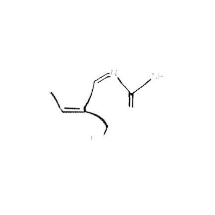 CCC(/C=N\C(N)=O)=C/I